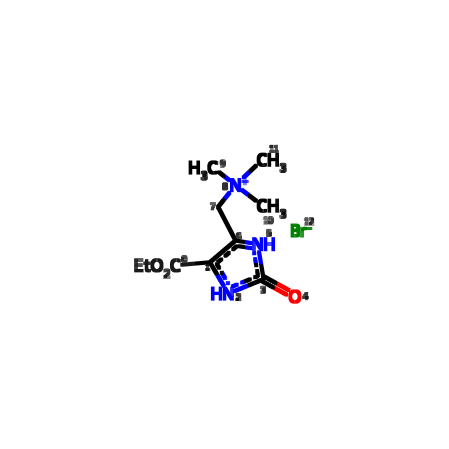 CCOC(=O)c1[nH]c(=O)[nH]c1C[N+](C)(C)C.[Br-]